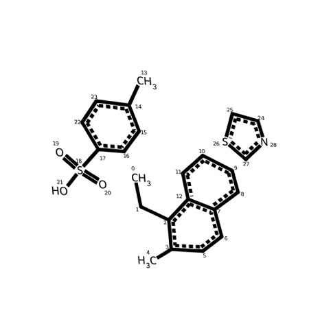 CCc1c(C)ccc2ccccc12.Cc1ccc(S(=O)(=O)O)cc1.c1cscn1